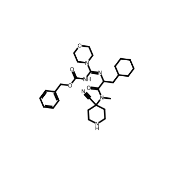 CN(C(=O)C(CC1CCCCC1)N=C(NC(=O)OCc1ccccc1)N1CCOCC1)C1(C#N)CCNCC1